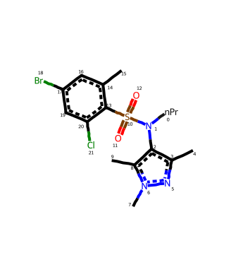 CCCN(c1c(C)nn(C)c1C)S(=O)(=O)c1c(C)cc(Br)cc1Cl